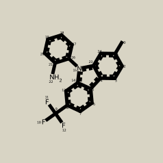 Cc1ccc2c3ccc(C(F)(F)F)cc3n(-c3ccccc3N)c2c1